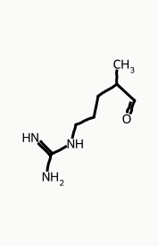 CC(C=O)CCCNC(=N)N